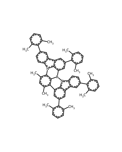 Cc1cccc(C)c1-c1ccc2c(c1)c1cc(-c3c(C)cccc3C)cc3c1n2B1c2c-3c(C)cc(C)c2-n2c3ccc(-c4c(C)cccc4C)cc3c3cc(-c4c(C)cccc4C)cc1c32